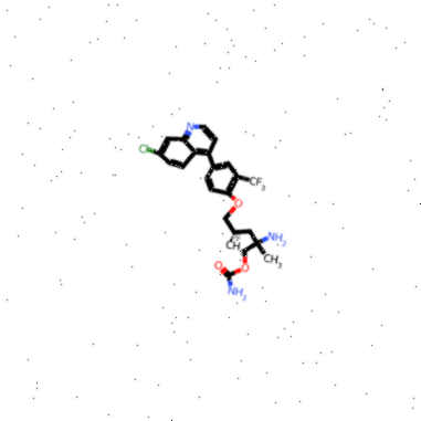 C[C@H](COc1ccc(-c2ccnc3cc(Cl)ccc23)cc1C(F)(F)F)CC(C)(N)COC(N)=O